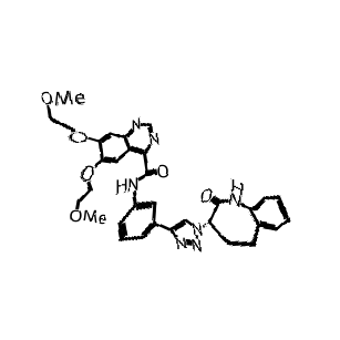 COCCOc1cc2ncnc(C(=O)Nc3cccc(-c4cn([C@H]5CCc6ccccc6NC5=O)nn4)c3)c2cc1OCCOC